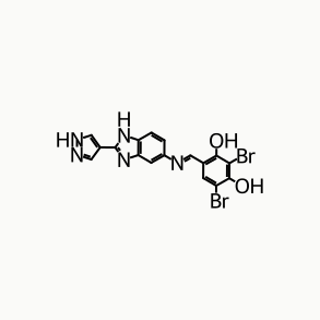 Oc1c(Br)cc(/C=N/c2ccc3[nH]c(-c4cn[nH]c4)nc3c2)c(O)c1Br